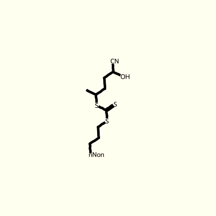 CCCCCCCCCCCCSC(=S)SC(C)CCC(O)C#N